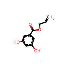 C=CCOC(=O)c1cc(O)cc(O)c1